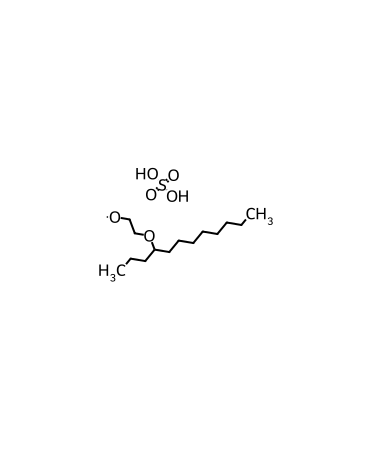 CCCCCCCCC(CCC)OCC[O].O=S(=O)(O)O